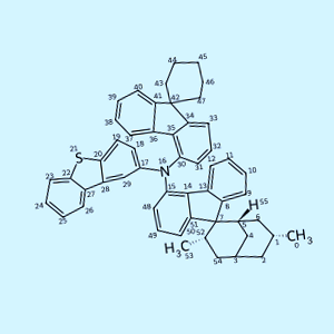 C[C@@H]1CC2C[C@@H](C1)C1(c3ccccc3-c3c(N(c4ccc5sc6ccccc6c5c4)c4cccc5c4-c4ccccc4C54CCCCC4)cccc31)[C@@H](C)C2